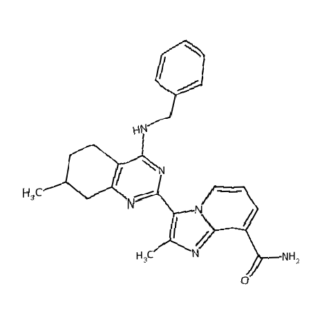 Cc1nc2c(C(N)=O)cccn2c1-c1nc2c(c(NCc3ccccc3)n1)CCC(C)C2